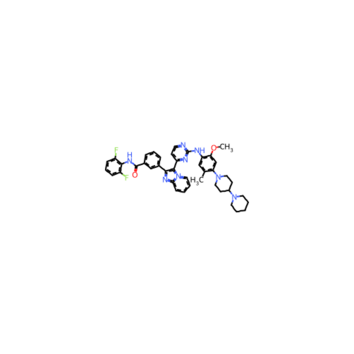 COc1cc(N2CCC(N3CCCCC3)CC2)c(C)cc1Nc1nccc(-c2c(-c3cccc(C(=O)Nc4c(F)cccc4F)c3)nc3ccccn23)n1